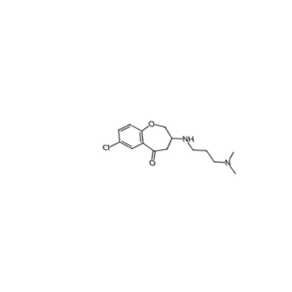 CN(C)CCCNC1COc2ccc(Cl)cc2C(=O)C1